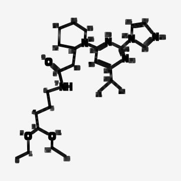 CCOC(CCCNC(=O)CC1CCCCN1c1cc(C(C)C)nc(-n2ccnc2)n1)OCC